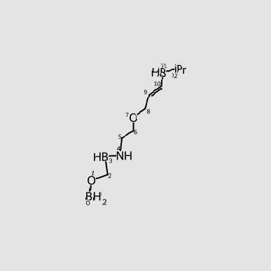 BOCBNCCOC/C=C/BC(C)C